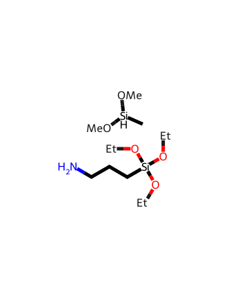 CCO[Si](CCCN)(OCC)OCC.CO[SiH](C)OC